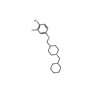 CC(C)c1ccc(OCC2CCN(CC3CCCCC3)CC2)cc1F